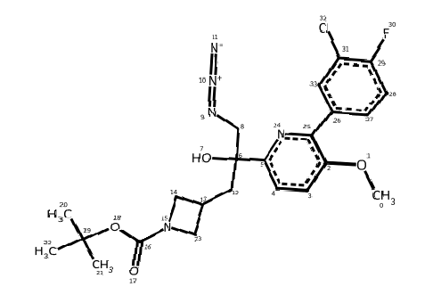 COc1ccc(C(O)(CN=[N+]=[N-])CC2CN(C(=O)OC(C)(C)C)C2)nc1-c1ccc(F)c(Cl)c1